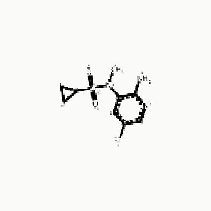 CN(c1cc(Br)cnc1N)S(=O)(=O)C1CC1